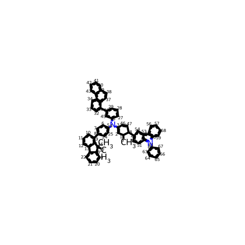 CC1C=C(N(c2ccc(-c3cccc4c3C(C)(C)c3ccccc3-4)cc2)c2cccc(-c3cccc4c3ccc3ccccc34)c2)C=CC1c1ccc2c(c1)c1ccccc1n2-c1ccccc1